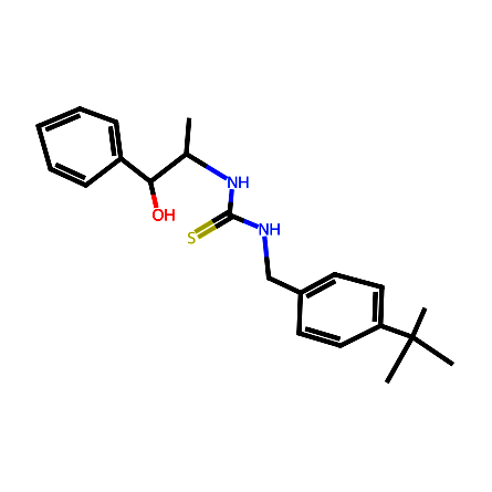 CC(NC(=S)NCc1ccc(C(C)(C)C)cc1)C(O)c1ccccc1